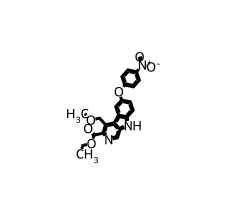 CCOC(=O)c1ncc2[nH]c3ccc(Oc4ccc([N+](=O)[O-])cc4)cc3c2c1COC